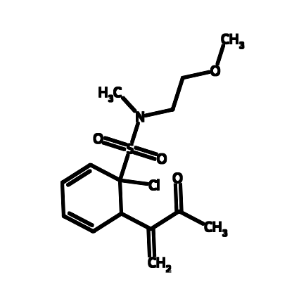 C=C(C(C)=O)C1C=CC=CC1(Cl)S(=O)(=O)N(C)CCOC